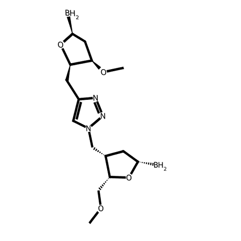 B[C@H]1C[C@@H](Cn2cc(C[C@H]3O[C@@H](B)C[C@H]3OC)nn2)[C@@H](COC)O1